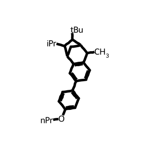 CCCOc1ccc(-c2ccc3c(c2)C2CC(C3C)C(C(C)(C)C)C2C(C)C)cc1